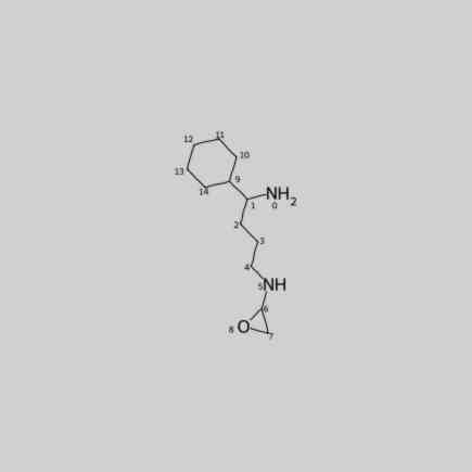 NC(CCCNC1CO1)C1CCCCC1